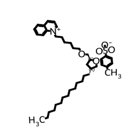 CCCCCCCCCCCCCC[C@H]1CO[C@H](COCCCCCC[n+]2cccc3ccccc32)C1.Cc1ccc(S(=O)(=O)[O-])cc1